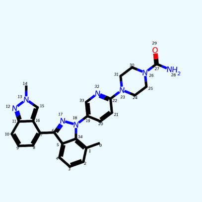 Cc1cccc2c(-c3cccc4nn(C)cc34)nn(-c3ccc(N4CCN(C(N)=O)CC4)nc3)c12